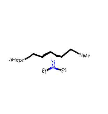 CCCCCCCCCCCCNC.CCNCC